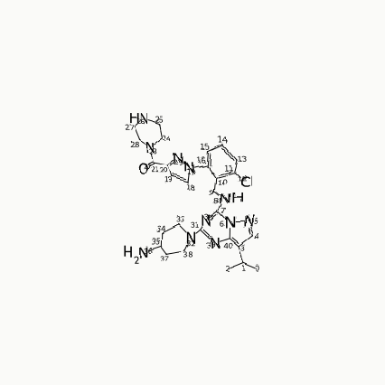 CC(C)c1cnn2c(NCc3c(Cl)cccc3-n3ccc(C(=O)N4CCNCC4)n3)nc(N3CCC(N)CC3)nc12